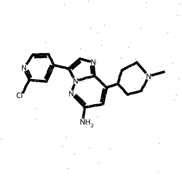 CN1CCC(c2cc(N)nn3c(-c4ccnc(Cl)c4)cnc23)CC1